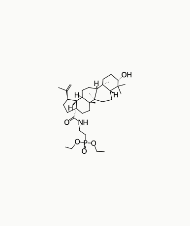 C=C(C)[C@@H]1CC[C@]2(C(=O)NCCP(=O)(OCC)OCC)CC[C@]3(C)[C@H](CC[C@@H]4[C@@]5(C)CC[C@H](O)C(C)(C)[C@@H]5CC[C@]43C)[C@@H]12